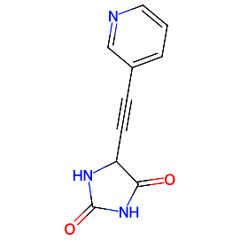 O=C1NC(=O)C(C#Cc2cccnc2)N1